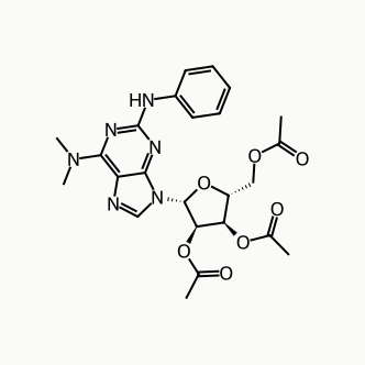 CC(=O)OC[C@H]1O[C@@H](n2cnc3c(N(C)C)nc(Nc4ccccc4)nc32)[C@H](OC(C)=O)[C@@H]1OC(C)=O